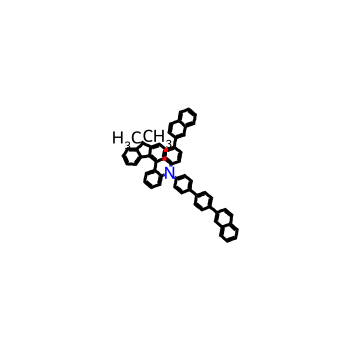 CC1(C)c2ccccc2-c2c(-c3ccccc3N(c3ccc(-c4ccc(-c5ccc6ccccc6c5)cc4)cc3)c3ccc(-c4ccc5ccccc5c4)cc3)cccc21